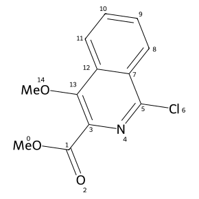 COC(=O)c1nc(Cl)c2ccccc2c1OC